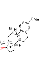 CC[C@H]1C[C@]2(C)C(=O)CC[C@@H]2[C@@H]2CCc3cc(OC)ccc3[C@@H]12